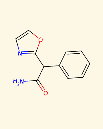 NC(=O)C(c1ccccc1)c1ncco1